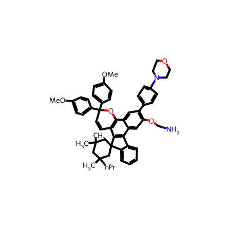 CCCC1(C)CC(C)(C)CC2(C1)c1ccccc1-c1c2c2c(c3cc(-c4ccc(N5CCOCC5)cc4)c(OCN)cc13)OC(c1ccc(OC)cc1)(c1ccc(OC)cc1)C=C2